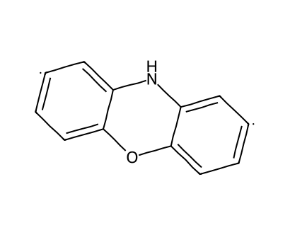 [c]1ccc2c(c1)Nc1c[c]ccc1O2